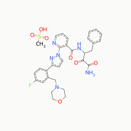 CS(=O)(=O)O.NC(=O)C(=O)C(Cc1ccccc1)NC(=O)c1cccnc1-n1ccc(-c2ccc(F)cc2CN2CCOCC2)n1